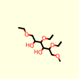 CCOCC(O)C(OCC)C(O)C(COC)OCC